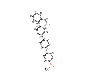 CCOc1ccc(-c2ccc(-c3ccc4c(ccc5ccccc54)c3)cc2)cc1